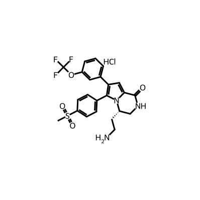 CS(=O)(=O)c1ccc(-c2c(-c3cccc(OC(F)(F)F)c3)cc3n2[C@@H](CCN)CNC3=O)cc1.Cl